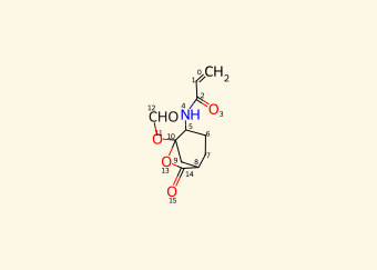 C=CC(=O)NC1CCC2CC1(OC=O)OC2=O